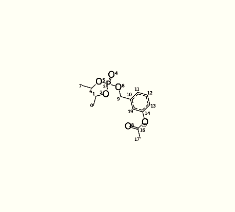 CCOP(=O)(OCC)OCc1cccc(OC(C)=O)c1